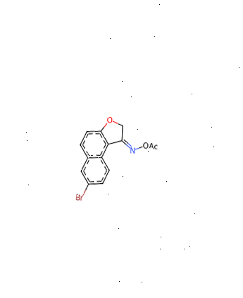 CC(=O)O/N=C1\COc2ccc3cc(Br)ccc3c21